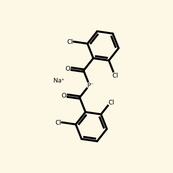 O=C([P-]C(=O)c1c(Cl)cccc1Cl)c1c(Cl)cccc1Cl.[Na+]